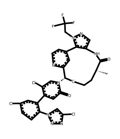 C[C@@H]1CCC[C@H](n2cc(Cl)c(-c3cc(Cl)ccc3-n3cc(Cl)nn3)cc2=O)c2cc(ccn2)-c2c(cnn2CC(F)(F)F)NC1=O